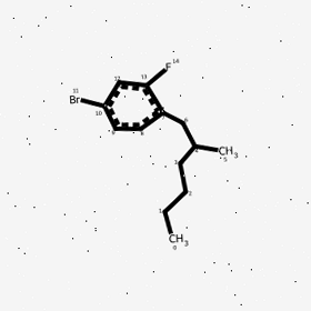 CCC[CH]C(C)Cc1ccc(Br)cc1F